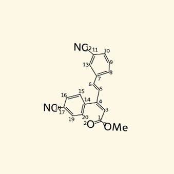 COC(=O)/C=C(/C=C/c1cccc(C#N)c1)c1ccc(C#N)cc1